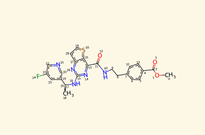 COC(=O)c1ccc(CCNC(=O)c2nc(N[C@@H](C)c3cncc(F)c3)nc3ccsc23)cc1